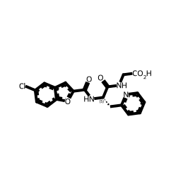 O=C(O)CNC(=O)[C@H](Cc1ccccn1)NC(=O)c1cc2cc(Cl)ccc2o1